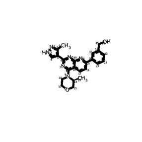 Cc1n[nH]cc1-c1nc(N2CCOC[C@@H]2C)c2ccc(-c3cccc(CO)c3)nc2n1